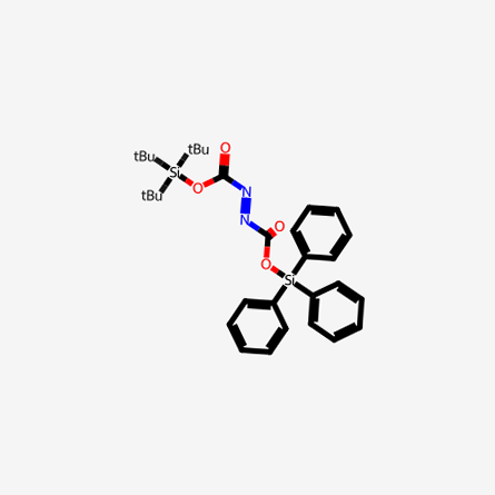 CC(C)(C)[Si](OC(=O)N=NC(=O)O[Si](c1ccccc1)(c1ccccc1)c1ccccc1)(C(C)(C)C)C(C)(C)C